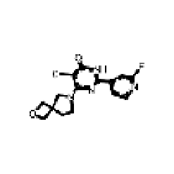 O=c1[nH]c(-c2ccnc(F)c2)nc(N2CCC3(COC3)C2)c1Cl